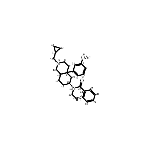 CC(=O)Oc1cccc(C23CCN(CC4CC4)CC2CC[C@H](N(CC(C)C)C(=O)c2ccccc2)C3)c1